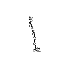 CCC(C)C(=O)NCCOCCOCCOCCOCCOCCOCC(C)=O